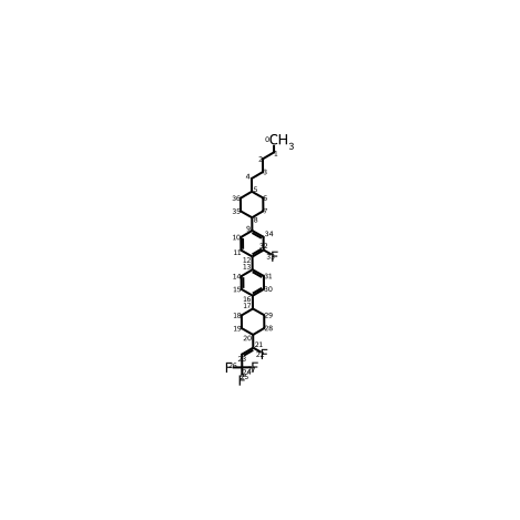 CCCCCC1CCC(c2ccc(-c3ccc(C4CCC(/C(F)=C/C(F)(F)F)CC4)cc3)c(F)c2)CC1